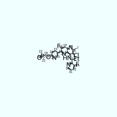 CCC(Nc1c(Cl)c(C)nc2cc(F)c(-c3ccc(OCP(C)(C)=O)nc3)nc12)c1ncccc1F